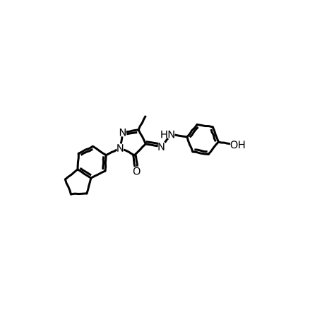 CC1=NN(c2ccc3c(c2)CCC3)C(=O)/C1=N/Nc1ccc(O)cc1